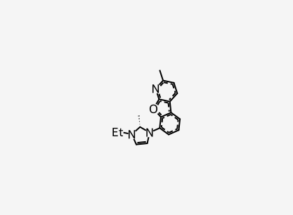 CCN1C=CN(c2cccc3c2oc2nc(C)ccc23)[C@H]1C